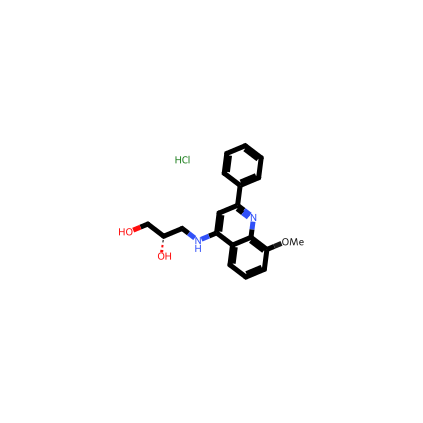 COc1cccc2c(NC[C@H](O)CO)cc(-c3ccccc3)nc12.Cl